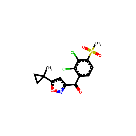 CC1(c2cc(C(=O)c3ccc(S(C)(=O)=O)c(Cl)c3Cl)no2)CC1